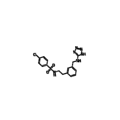 O=S(=O)(NCCc1cccc(CNc2nnn[nH]2)c1)c1ccc(Cl)cc1